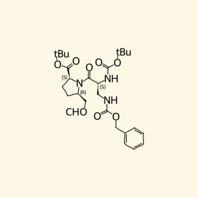 CC(C)(C)OC(=O)N[C@@H](CNC(=O)OCc1ccccc1)C(=O)N1[C@@H](CC=O)CC[C@H]1C(=O)OC(C)(C)C